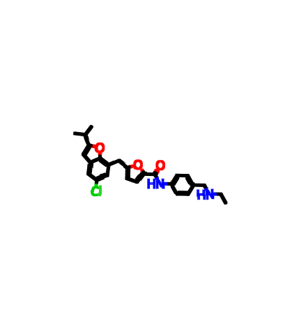 CCNCc1ccc(NC(=O)c2ccc(Cc3cc(Cl)cc4cc(C(C)C)oc34)o2)cc1